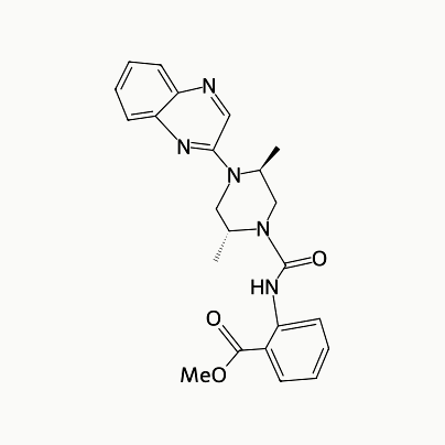 COC(=O)c1ccccc1NC(=O)N1C[C@H](C)N(c2cnc3ccccc3n2)C[C@H]1C